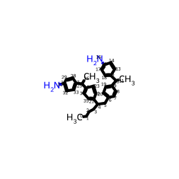 CCCCC(Cc1ccc(C(C)c2ccc(N)cc2)cc1)c1ccc(C(C)c2ccc(N)cc2)cc1